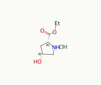 CCOC(=O)[C@H]1C[C@@H](O)CN1.Cl